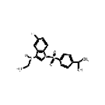 [CH2]C[S+]([O-])c1cn(S(=O)(=O)c2ccc(C(C)C)cc2)c2ccc(Br)cc12